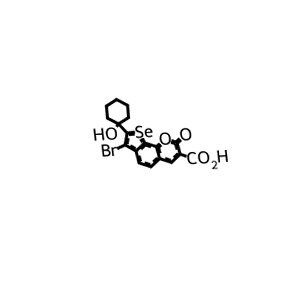 O=C(O)c1cc2ccc3c(Br)c(C4(O)CCCCC4)[se]c3c2oc1=O